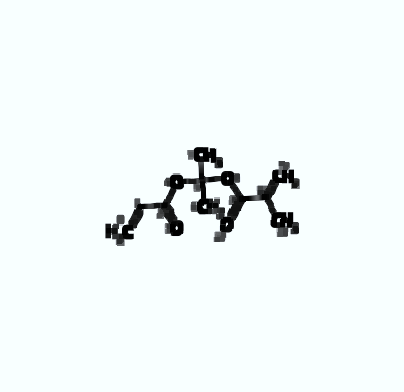 C=CC(=O)OC(C)(C)OC(=O)C(=C)C